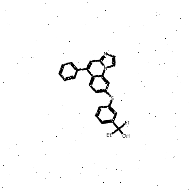 CCC(O)(CC)c1cccc(Sc2ccc3c(-c4ccccc4)cc4nccn4c3c2)c1